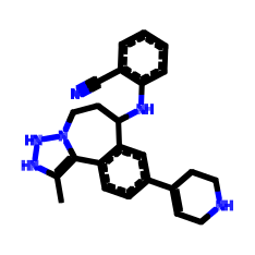 CC1=C2c3ccc(C4=CCNCC4)cc3C(Nc3ccccc3C#N)CCN2NN1